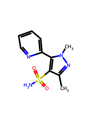 Cc1nn(C)c(-c2ccccn2)c1S(N)(=O)=O